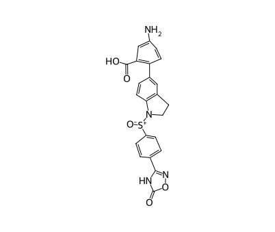 Nc1ccc(-c2ccc3c(c2)CCN3[S+]([O-])c2ccc(-c3noc(=O)[nH]3)cc2)c(C(=O)O)c1